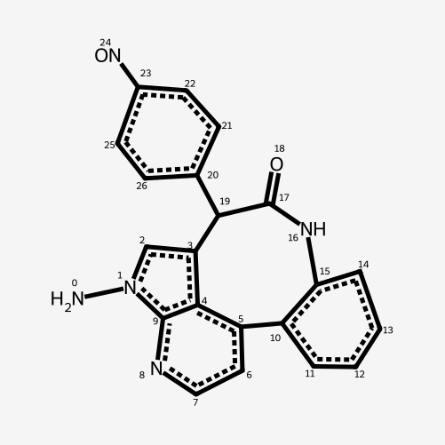 Nn1cc2c3c(ccnc31)-c1ccccc1NC(=O)C2c1ccc(N=O)cc1